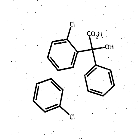 Clc1ccccc1.O=C(O)C(O)(c1ccccc1)c1ccccc1Cl